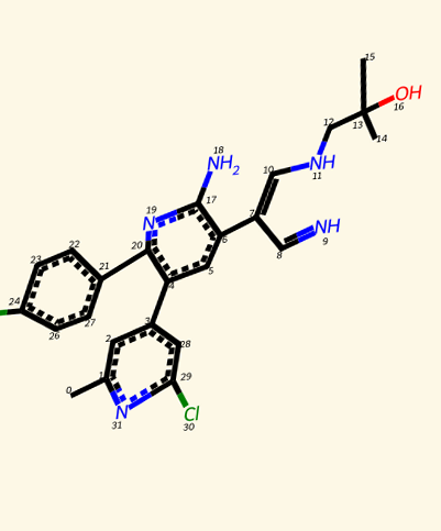 Cc1cc(-c2cc(/C(C=N)=C/NCC(C)(C)O)c(N)nc2-c2ccc(F)cc2)cc(Cl)n1